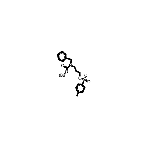 Cc1ccc(S(=O)(=O)OCCCN(Cc2ccccc2)C(=O)OC(C)(C)C)cc1